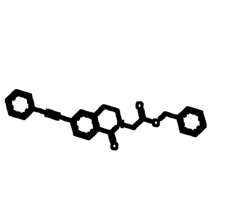 O=C(CN1CCc2cc(C#Cc3ccccc3)ccc2C1=O)OCc1ccccc1